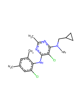 CCCN(CC1CC1)c1nc(C)nc(Nc2c(C)cc(C)cc2Cl)c1Cl